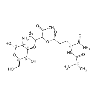 CC(=O)C(OC(=O)CC[C@@H](NC(=O)[C@H](C)N)C(N)=O)C(C)O[C@@H]1[C@@H](N)[C@@H](O)O[C@H](CO)[C@H]1O